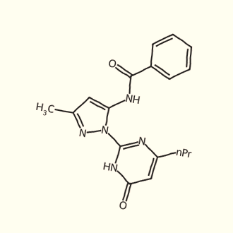 CCCc1cc(=O)[nH]c(-n2nc(C)cc2NC(=O)c2ccccc2)n1